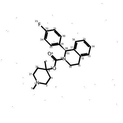 CN1CCC(C)(OC(=O)N2CCc3ccccc3[C@@H]2c2ccc(F)cc2)CC1